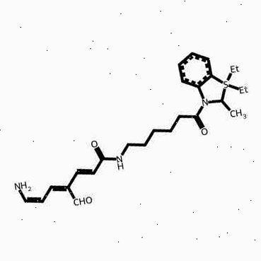 CCS1(CC)c2ccccc2N(C(=O)CCCCCNC(=O)/C=C/C(C=O)=C/C=C\N)C1C